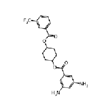 Nc1cc(N)cc(C(=O)OC2CCC(OC(=O)c3cccc(C(F)(F)F)c3)CC2)c1